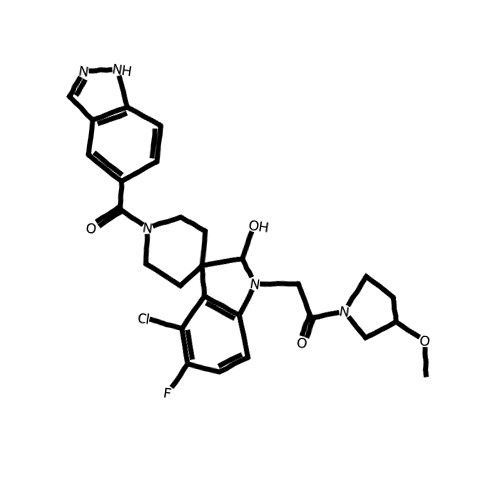 COC1CCN(C(=O)CN2c3ccc(F)c(Cl)c3C3(CCN(C(=O)c4ccc5[nH]ncc5c4)CC3)C2O)C1